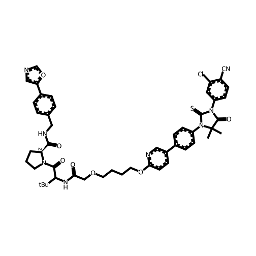 CC(C)(C)C(NC(=O)COCCCCOc1ccc(-c2ccc(N3C(=S)N(c4ccc(C#N)c(Cl)c4)C(=O)C3(C)C)cc2)cn1)C(=O)N1CCC[C@H]1C(=O)NCc1ccc(-c2cnco2)cc1